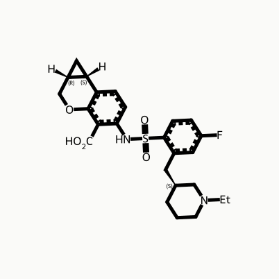 CCN1CCC[C@@H](Cc2cc(F)ccc2S(=O)(=O)Nc2ccc3c(c2C(=O)O)OC[C@@H]2C[C@H]32)C1